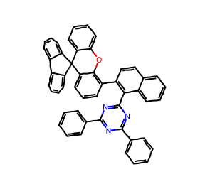 c1ccc(-c2nc(-c3ccccc3)nc(-c3c(-c4cccc5c4Oc4ccccc4C54c5ccccc5-c5ccccc54)ccc4ccccc34)n2)cc1